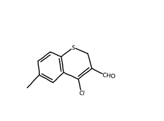 Cc1ccc2c(c1)C(Cl)=C(C=O)CS2